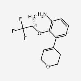 C[C@H](Oc1c(N)cccc1C1=CCOCC1)C(F)(F)F